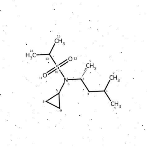 CC(C)C[C@@H](C)N(C1CC1)S(=O)(=O)C(C)C